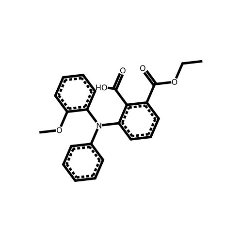 CCOC(=O)c1cccc(N(c2ccccc2)c2ccccc2OC)c1C(=O)O